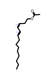 CCCCCCCC/C=C/C=C\CCOC(C)=O